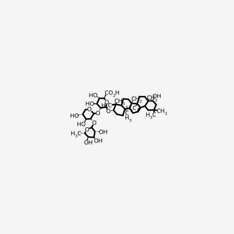 C[C@@H]1OC(O[C@H]2C(O[C@H]3C(O[C@H]4CC[C@@]5(C)C(CC[C@]6(C)C5CC=C5C7CC(C)(C)C[C@@H](O)[C@]7(C)CC[C@]56C)C4(C)C)O[C@H](C(=O)O)[C@@H](O)[C@@H]3O)OC[C@@H](O)[C@@H]2O)[C@H](O)[C@H](O)[C@H]1O